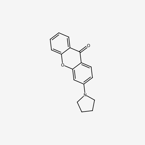 O=c1c2ccccc2oc2cc(N3CCCC3)ccc12